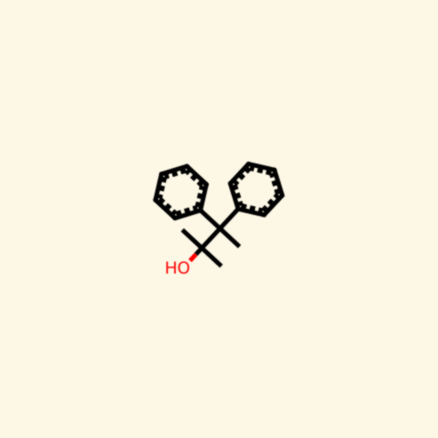 CC(C)(O)C(C)(c1ccccc1)c1ccccc1